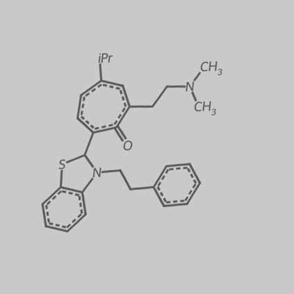 CC(C)c1ccc(C2Sc3ccccc3N2CCc2ccccc2)c(=O)c(CCN(C)C)c1